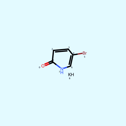 O=c1ccc(Br)c[nH]1.[KH]